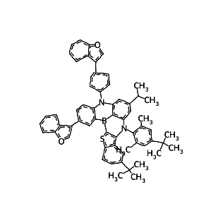 Cc1cc(C(C)(C)C)cc(C)c1N1c2cc(C(C)C)cc3c2B(c2cc(-c4coc5ccccc45)ccc2N3c2ccc(-c3coc4ccccc34)cc2)c2sc3ccc(C(C)(C)C)cc3c21